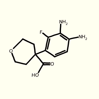 Nc1ccc(C2(C(=O)O)CCOCC2)c(F)c1N